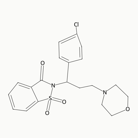 O=C1c2ccccc2S(=O)(=O)N1C(CCN1CCOCC1)c1ccc(Cl)cc1